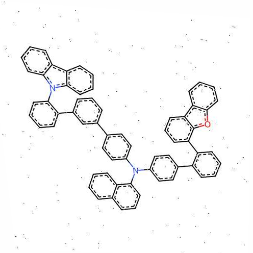 c1cc(-c2ccc(N(c3ccc(-c4ccccc4-c4cccc5c4oc4ccccc45)cc3)c3cccc4ccccc34)cc2)cc(-c2ccccc2-n2c3ccccc3c3ccccc32)c1